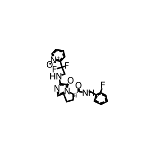 O=C(NCc1ccccc1F)[C@@H]1CCc2cnc(NCC(F)(F)c3cccc[n+]3[O-])c(=O)n21